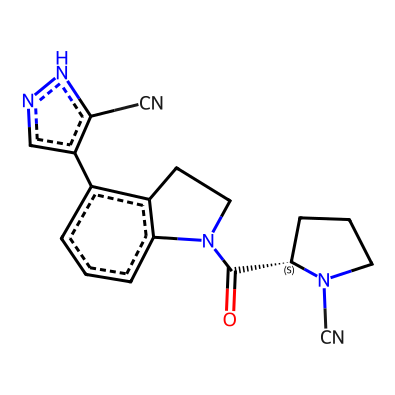 N#Cc1[nH]ncc1-c1cccc2c1CCN2C(=O)[C@@H]1CCCN1C#N